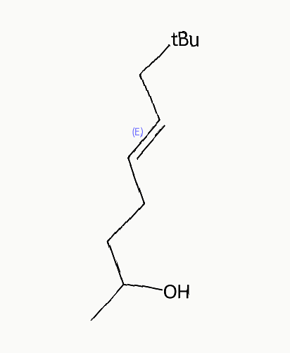 CC(O)CC/C=C/CC(C)(C)C